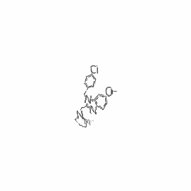 COc1ccc2nc(CN3CCC[C@H]3C)n(Cc3ccc(Cl)cc3)c2c1